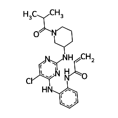 C=CC(=O)Nc1ccccc1Nc1nc(NC2CCCN(C(=O)C(C)C)C2)ncc1Cl